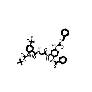 CN(C(=S)c1ccccc1)C1CCC(NC(=O)OCc2ccccc2)CC1NC(=O)CNC(=O)c1cc(C(F)(F)F)ccc1NC(=O)OC(C)(C)C